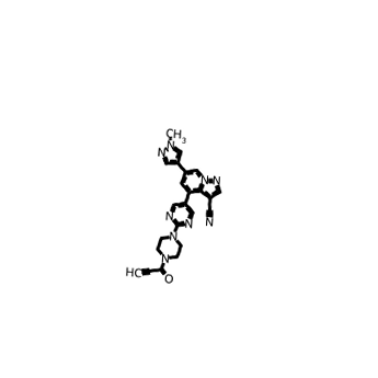 C#CC(=O)N1CCN(c2ncc(-c3cc(-c4cnn(C)c4)cn4ncc(C#N)c34)cn2)CC1